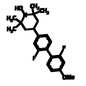 COc1ccc(-c2ccc(C3CC(C)(C)N(O)C(C)(C)C3)cc2F)c(F)c1